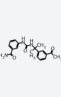 CC(=O)c1cccc(C(C)(C)NC(=O)Nc2cccc(C(N)=O)c2)c1